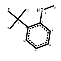 CBc1ccccc1C(C)(C)C